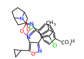 Cc1cc(C(=O)O)ccc1-c1noc(N2C3CCC2CC(OCc2c(-c4c(Cl)cccc4Cl)noc2C2CC2)C3)n1